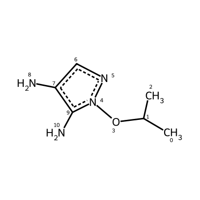 CC(C)On1ncc(N)c1N